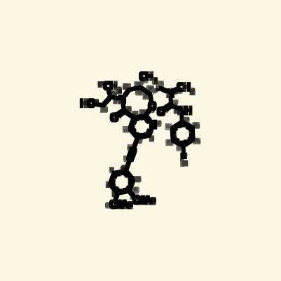 COc1ccc(C#Cc2cnc3c(c2)C(=O)N(C(C)CO)C[C@H](C)[C@H](CN(C)C(=O)Nc2ccc(F)cc2)O3)cc1OC